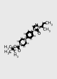 CCC(C)n1ncn(-c2ccc(N3CCN(C(=O)OC(C)(C)C)CC3)cc2)c1=O